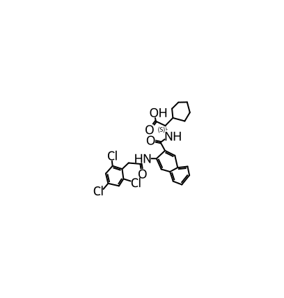 O=C(Cc1c(Cl)cc(Cl)cc1Cl)Nc1cc2ccccc2cc1C(=O)N[C@H](C(=O)O)C1CCCCC1